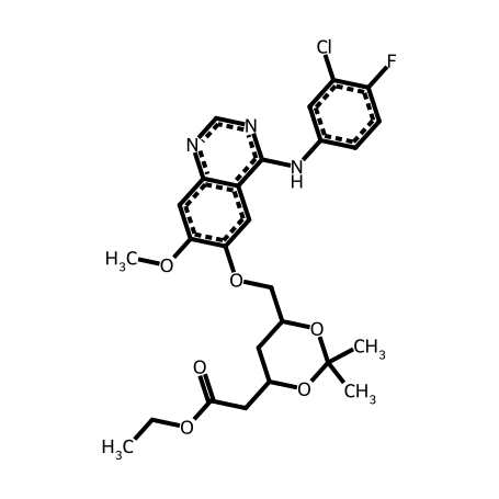 CCOC(=O)CC1CC(COc2cc3c(Nc4ccc(F)c(Cl)c4)ncnc3cc2OC)OC(C)(C)O1